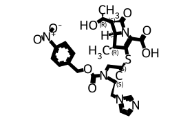 C[C@@H](O)[C@H]1C(=O)N2C(C(=O)O)=C(S[C@H]3C[C@@H](Cn4ccnc4)N(C(=O)OCc4ccc([N+](=O)[O-])cc4)C3)[C@H](C)[C@H]12